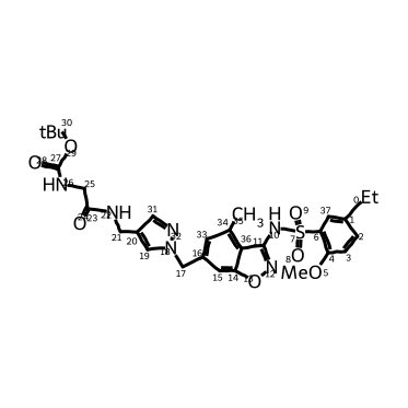 CCc1ccc(OC)c(S(=O)(=O)Nc2noc3cc(Cn4cc(CNC(=O)CNC(=O)OC(C)(C)C)cn4)cc(C)c23)c1